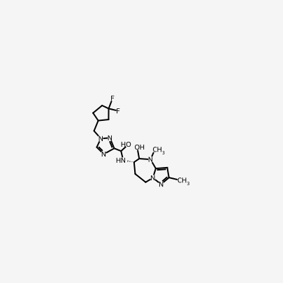 Cc1cc2n(n1)CC[C@H](NC(O)c1ncn(CC3CCC(F)(F)C3)n1)C(O)N2C